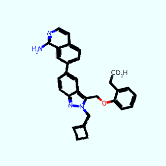 Nc1nccc2ccc(-c3ccc4nn(CC5CCC5)c(COc5ccccc5CC(=O)O)c4c3)cc12